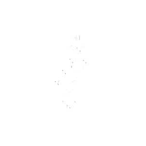 CN(C(=O)O)c1ncc2c(n1)N1CCCN=C1C(c1ccnc(Cl)c1Cl)=C2